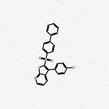 O=S(=O)(c1ccc(-c2ccccc2)cc1)c1sc2ncccc2c1-c1ccc(Cl)cc1